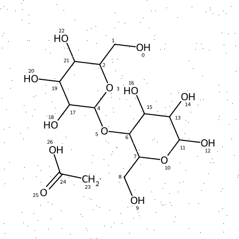 OCC1OC(OC2C(CO)OC(O)C(O)C2O)C(O)C(O)C1O.[CH2]C(=O)O